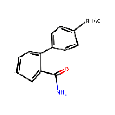 CC(=O)Nc1ccc(-c2cc[c]cc2C(N)=O)cc1